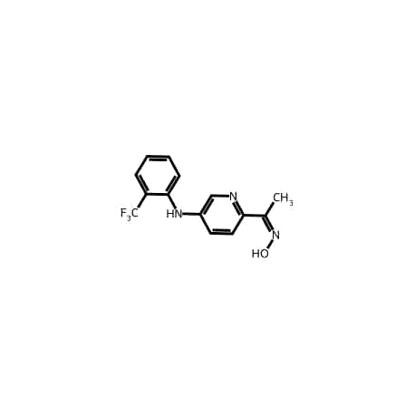 C/C(=N/O)c1ccc(Nc2ccccc2C(F)(F)F)cn1